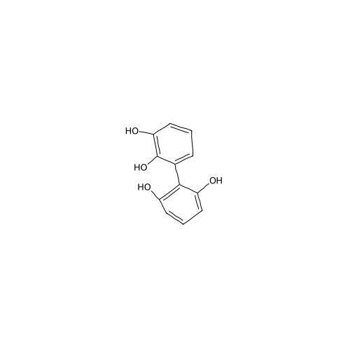 Oc1cccc(-c2c(O)cccc2O)c1O